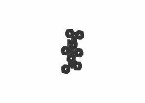 c1ccc(-n2c3ccccc3c3cc([Si](c4ccccc4)(c4ccccc4)c4ccc(-n5c6ccccc6c6ccccc65)nc4)ccc32)cc1